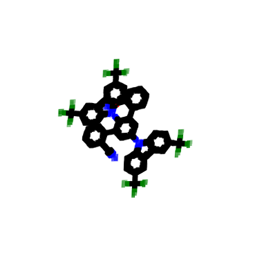 N#Cc1ccccc1-c1cc(-n2c3ccc(C(F)(F)F)cc3c3cc(C(F)(F)F)ccc32)cc(-c2ccccc2C#N)c1-n1c2ccc(C(F)(F)F)cc2c2cc(C(F)(F)F)ccc21